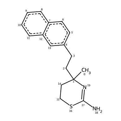 CC1(CCc2ccc3ccccc3c2)CCSC(N)=N1